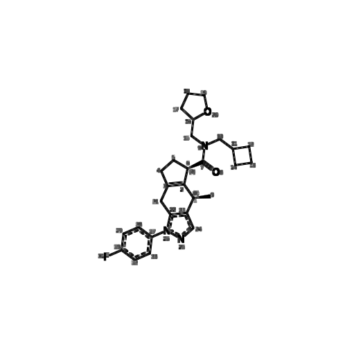 C[C@@H]1C2=C(CC[C@H]2C(=O)N(CC2CCC2)CC2CCCO2)Cc2c1cnn2-c1ccc(F)cc1